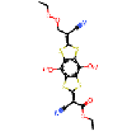 CCOOCC(C#N)=C1Sc2c(O)c3c(c(O)c2S1)SC(=C(C#N)C(=O)OCC)S3